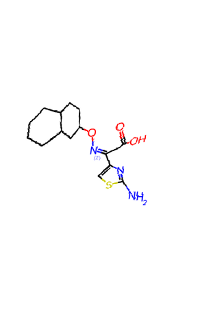 Nc1nc(/C(=N/OC2CCC3CCCCC3C2)C(=O)O)cs1